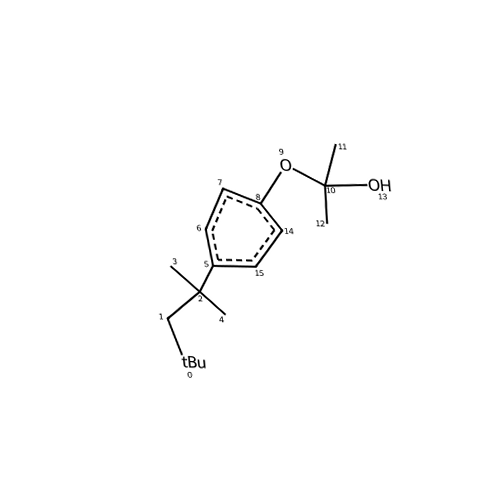 CC(C)(C)CC(C)(C)c1ccc(OC(C)(C)O)cc1